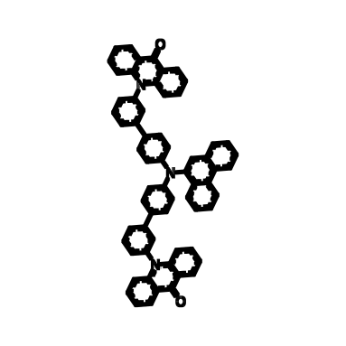 O=c1c2ccccc2n(-c2cccc(-c3ccc(N(c4ccc(-c5cccc(-n6c7ccccc7c(=O)c7ccccc76)c5)cc4)c4cc5ccccc5c5ccccc45)cc3)c2)c2ccccc12